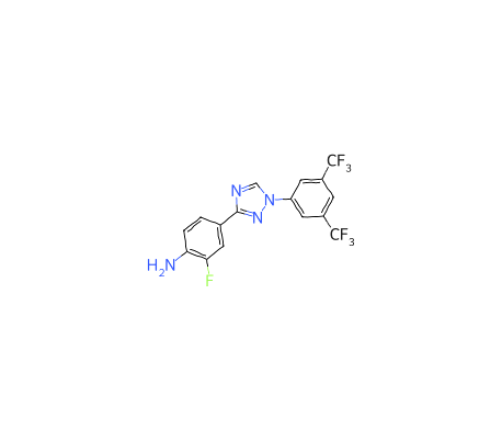 Nc1ccc(-c2ncn(-c3cc(C(F)(F)F)cc(C(F)(F)F)c3)n2)cc1F